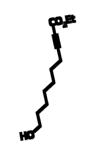 CCOC(=O)C#CCCCCCCCO